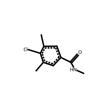 CNC(=O)c1cc(C)c(Cl)c(C)c1